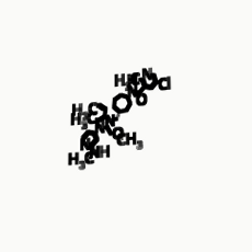 C/C=C\C1=C(C)N(c2ccnc(NC)c2)C(COC)N1C[C@@H]1CCC[C@@H](NC(=O)c2cc(Cl)cnc2C)CC1